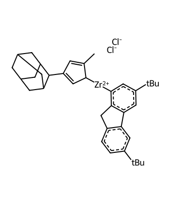 CC1=CC(C2C3CC4CC(C3)CC2C4)=C[CH]1[Zr+2][c]1cc(C(C)(C)C)cc2c1Cc1ccc(C(C)(C)C)cc1-2.[Cl-].[Cl-]